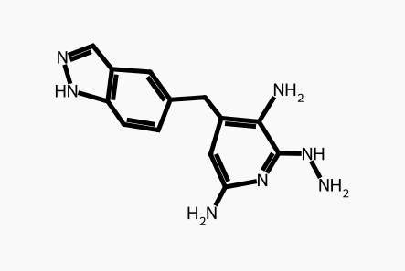 NNc1nc(N)cc(Cc2ccc3[nH]ncc3c2)c1N